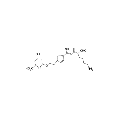 NCCCCC(C=O)N/C=C(\N)c1ccc(CCOC2CC(O)CC(C(=O)O)O2)cc1